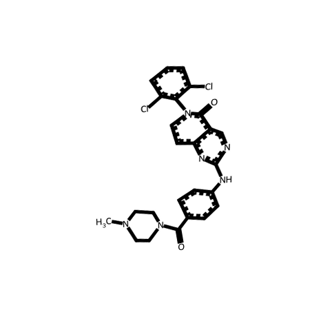 CN1CCN(C(=O)c2ccc(Nc3ncc4c(=O)n(-c5c(Cl)cccc5Cl)ccc4n3)cc2)CC1